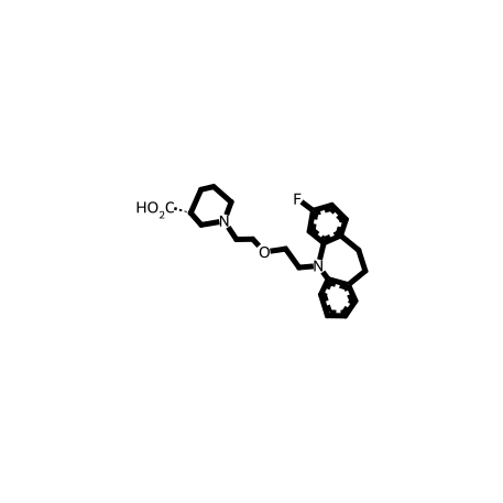 O=C(O)[C@@H]1CCCN(CCOCCN2c3ccccc3CCc3ccc(F)cc32)C1